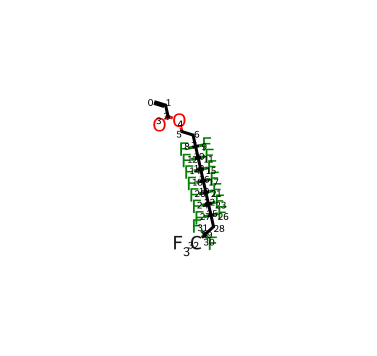 C=CC(=O)OCCC(F)(F)C(F)(F)C(F)(F)C(F)(F)C(F)(F)C(F)(F)C(F)(F)CC(F)(F)C(F)(F)F